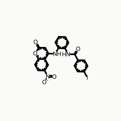 O=C(Nc1ccccc1Nc1cc(=O)oc2ccc([N+](=O)[O-])cc12)c1ccc(I)cc1